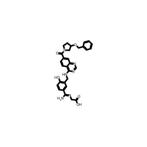 NC(=NCC(=O)O)c1ccc(O)c(CNc2ncnc3cc(C(=O)N4CCC(OCc5ccccc5)C4)ccc23)c1